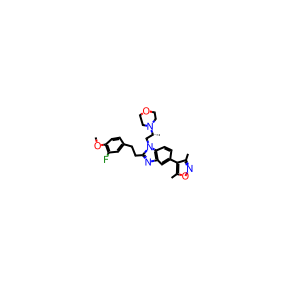 COc1ccc(CCc2nc3cc(-c4c(C)noc4C)ccc3n2C[C@@H](C)N2CCOCC2)cc1F